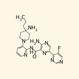 CCCC1(N)CCN(c2cccnc2NC(=O)c2nc(-c3ncncc3F)cnc2N)CC1